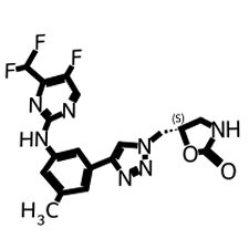 Cc1cc(Nc2ncc(F)c(C(F)F)n2)cc(-c2cn(C[C@@H]3CNC(=O)O3)nn2)c1